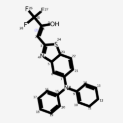 O/C(=C\C1=NC2C=C(N(C3=CCCC=C3)c3ccccc3)C=CC2S1)C(F)(F)F